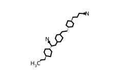 CCC[C@H]1CC[C@H](C(C#N)CC2CCC(CC[C@H]3CC[C@H](CCCC#N)CC3)CC2)CC1